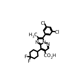 Cc1nc2c(C3CCC(F)(F)CC3)c(C(=O)O)cnn2c1-c1cc(Cl)cc(Cl)c1